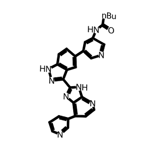 CCCCC(=O)Nc1cncc(-c2ccc3[nH]nc(-c4nc5c(-c6cccnc6)ccnc5[nH]4)c3c2)c1